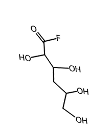 O=C(F)C(O)C(O)CC(O)CO